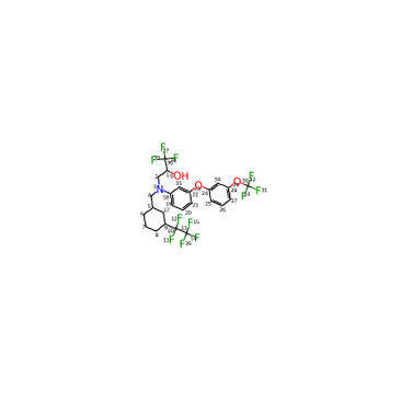 OC(CN(CC1CCCC(C(F)(F)C(F)(F)F)C1)c1cccc(Oc2cccc(OC(F)(F)F)c2)c1)C(F)(F)F